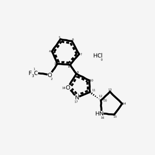 Cl.FC(F)(F)Oc1ccccc1-c1cc([C@@H]2CCCN2)no1